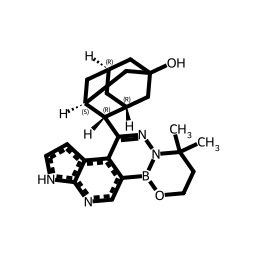 CC1(C)CCOB2c3cnc4[nH]ccc4c3C([C@H]3[C@@H]4C[C@H]5C[C@H]3CC(O)(C5)C4)=NN21